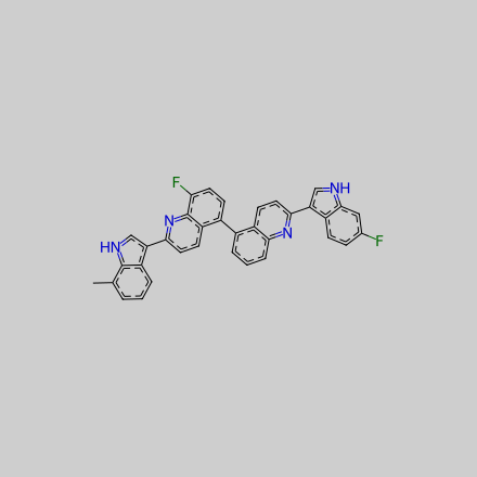 Cc1cccc2c(-c3ccc4c(-c5cccc6nc(-c7c[nH]c8cc(F)ccc78)ccc56)ccc(F)c4n3)c[nH]c12